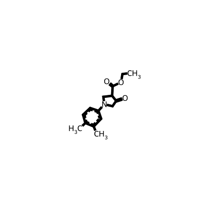 CCOC(=O)C1CN(c2ccc(C)c(C)c2)CC1=O